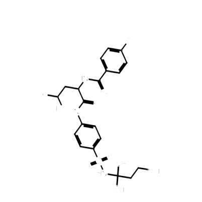 CC(C)CC(NC(=O)c1ccc(F)cc1)C(=O)Nc1ccc(S(=O)(=O)NC(C)(C)CCO)cc1